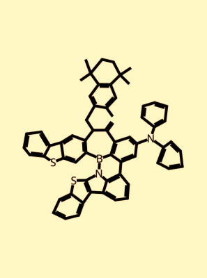 C=C1c2cc(N(c3ccccc3)c3ccccc3)cc3c2B(c2cc4sc5ccccc5c4cc2C1Cc1cc2c(cc1C)C(C)(C)CCC2(C)C)n1c2sc4ccccc4c2c2cccc-3c21